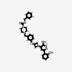 Nc1nnc(-c2ccccc2O)cc1N1CC(Oc2cccc(CN3CCN(C(=O)OCc4ccccc4)CC3)c2)C1